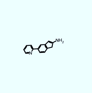 NC1=Cc2cc(-c3ccccn3)ccc2C1